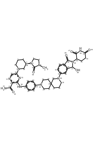 CN1CCN([C@@H]2CCCN(c3cnc(C(N)=O)c(Nc4ccc(N5CCC6(CCCN(c7ccc8c(c7)C(O)N(C7CCC(=O)NC7=O)C8=O)C6)CC5)cc4)n3)C2)C1=O